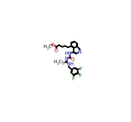 COC(=O)CCCCc1cccc2cncc(NC(=O)/N=C(\NCc3cc(F)c(F)c(F)c3)SC)c12